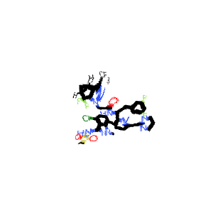 Cn1nc(NS(C)(=O)=O)c2c(Cl)ccc(-c3ccc(-c4ncccn4)nc3C(Cc3cc(F)cc(F)c3)NC(=O)Cn3nc(C(F)(F)F)c4c3C(F)(F)[C@@H]3C[C@H]43)c21